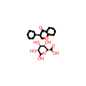 O=C(O)[C@H]1OC(O)[C@H](O)[C@@H](O)[C@@H]1O.O=c1c(-c2ccccc2)coc2ccccc12